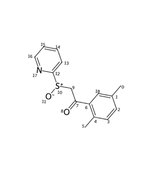 Cc1ccc(C)c(C(=O)C[S+]([O-])c2ccccn2)c1